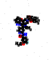 COc1cc(C(=O)Nc2cc(-c3c(Nc4ccccc4)c4c(n3C)CN(C(=O)OC(C)(C)C)CC4=O)ccn2)ccc1F